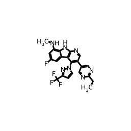 CCc1ncc(-c2cnc3[nH]c4c(NC)cc(F)cc4c3c2-n2ccc(C(F)(F)F)n2)cn1